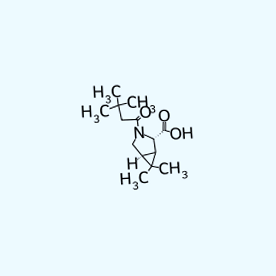 CC(C)(C)CC(=O)N1C[C@H]2C([C@H]1C(=O)O)C2(C)C